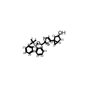 CC(C)(C)[Si](OCc1ncc(C23CC(O)CC2C3)s1)(c1ccccc1)c1ccccc1